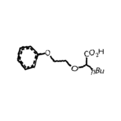 CCCCC(OCCOc1ccccc1)C(=O)O